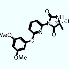 CC[C@@]1(C)NC(=O)N(c2cccc(Oc3cc(OC)cc(OC)c3)n2)C1=O